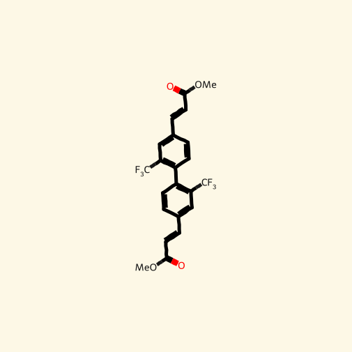 COC(=O)C=Cc1ccc(-c2ccc(C=CC(=O)OC)cc2C(F)(F)F)c(C(F)(F)F)c1